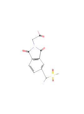 CS(=O)(=O)C(N)c1ccc2c(c1)C(=O)N(CC(=O)O)C2=O